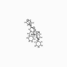 N#CC1(NC(=O)C(CC(=O)N2CC3CC2CO3)CC2CCCCC2)CCN(C2CCCCC2)C1